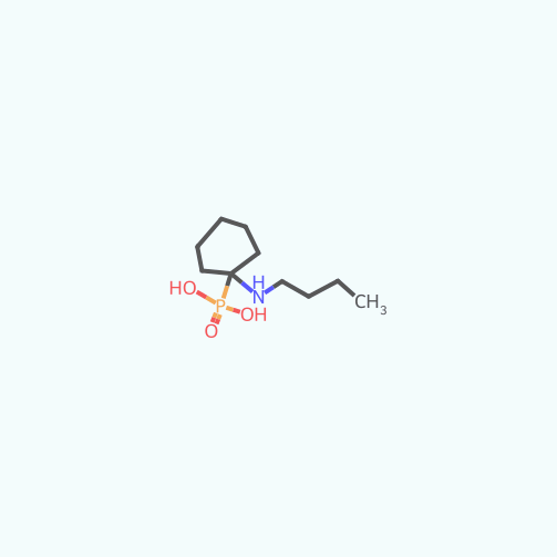 CCCCNC1(P(=O)(O)O)CCCCC1